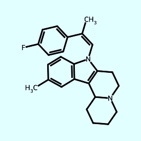 C/C(=C/n1c2c(c3cc(C)ccc31)C1CCCCN1CC2)c1ccc(F)cc1